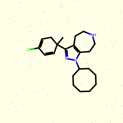 CC1(c2nn(C3CCCCCCC3)c3c2CCNCC3)C=CC(Cl)=CC1